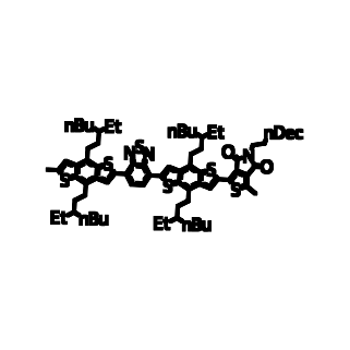 CCCCCCCCCCCCN1C(=O)c2c(C)sc(-c3cc4c(CCC(CC)CCCC)c5sc(-c6ccc(-c7cc8c(CCC(CC)CCCC)c9sc(C)cc9c(CCC(CC)CCCC)c8s7)c7nsnc67)cc5c(CCC(CC)CCCC)c4s3)c2C1=O